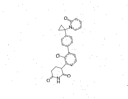 O=C1CCC(c2cccc(-c3ccc(C4(n5ccccc5=O)CC4)cc3)c2Cl)C(=O)N1